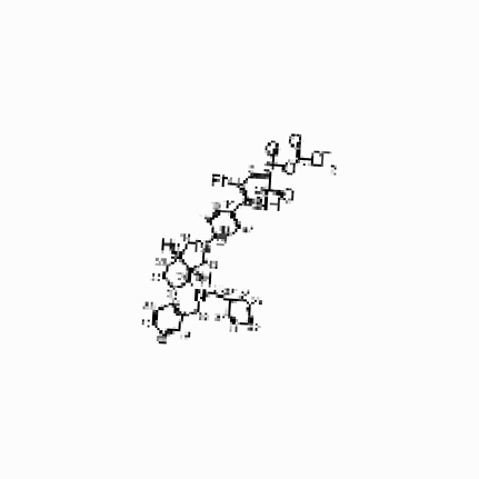 CCc1cc(C(=O)OC(=O)C(F)(F)F)c(=O)[nH]c1-c1ccc(N2C[C@H]3CCC[C@@H](N(Cc4ccccc4)Cc4ccccc4)[C@H]3C2)cc1